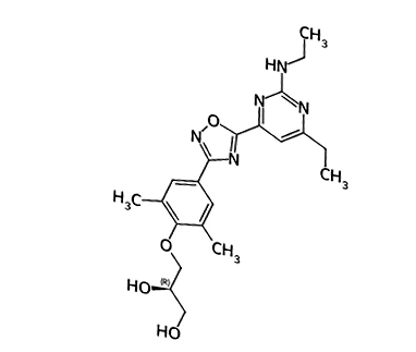 CCNc1nc(CC)cc(-c2nc(-c3cc(C)c(OC[C@H](O)CO)c(C)c3)no2)n1